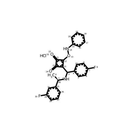 C[C@@H](NC(c1ccc(F)cc1)c1c(ONc2ccccc2)c(=O)c1=O)c1cccc(F)c1.Cl